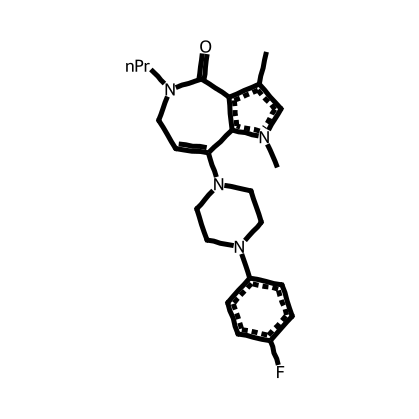 CCCN1CC=C(N2CCN(c3ccc(F)cc3)CC2)c2c(c(C)cn2C)C1=O